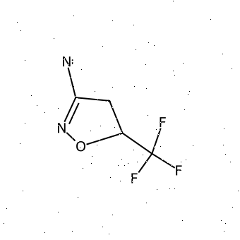 [N]C1=NOC(C(F)(F)F)C1